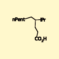 CCCCCCC(CCC(=O)O)C(C)C